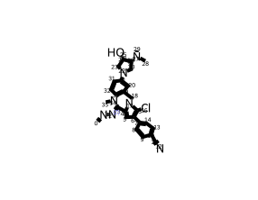 C=N/N=C1/c2cc(-c3ccc(C#N)cc3)c(Cl)n2Cc2cc(N3C[C@@H](O)[C@H](N(C)C)C3)ccc2N1C